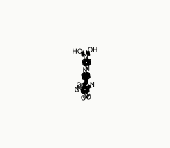 N#Cc1cc([N+](=O)[O-])cc([N+](=O)[O-])c1C=Cc1ccc(N=Nc2ccc(N(CCO)CCO)cc2)cc1